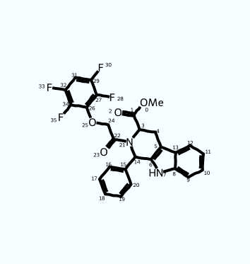 COC(=O)C1Cc2c([nH]c3ccccc23)C(c2ccccc2)N1C(=O)COc1c(F)c(F)cc(F)c1F